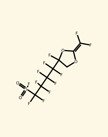 O=S(=O)(F)C(F)(F)C(F)(F)C(F)(F)C(F)(F)C1(F)COC(=C(F)F)O1